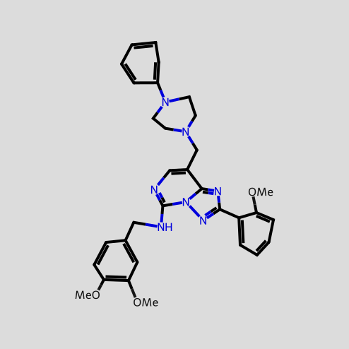 COc1ccc(CNc2ncc(CN3CCN(c4ccccc4)CC3)c3nc(-c4ccccc4OC)nn23)cc1OC